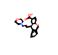 O=C(O)c1ccc2c(c1)C(=CCCN1CCOCC1)c1ccccc1CO2